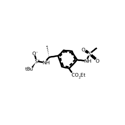 CCOC(=O)c1cc([C@@H](C)N[S@+]([O-])C(C)(C)C)ccc1NS(C)(=O)=O